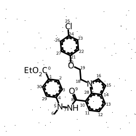 CCOC(=O)c1ccc(N(C)NC(=O)c2cccc3ccn(CCOc4ccc(Cl)cc4)c23)cc1